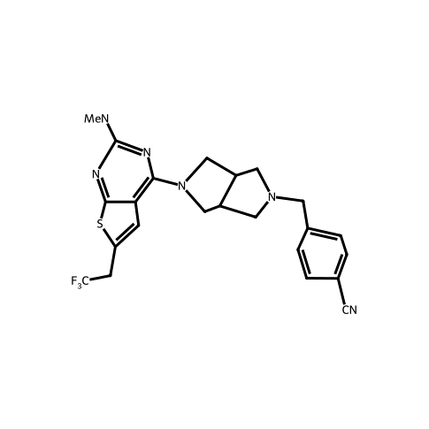 CNc1nc(N2CC3CN(Cc4ccc(C#N)cc4)CC3C2)c2cc(CC(F)(F)F)sc2n1